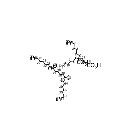 CC(C)CCCCCC(CCCCCC(C)C)(CCCC(=O)O)C(=O)O.CC(C)CCCCCOC(=O)CCCCC(=O)OCCCCCC(C)C